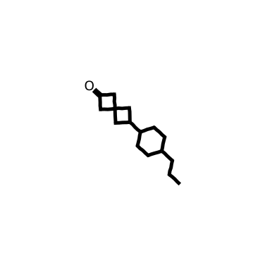 CCCC1CCC(C2CC3(CC(=O)C3)C2)CC1